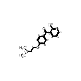 CN(C)CCOc1ccc(C(=O)c2cccnc2Cl)cc1